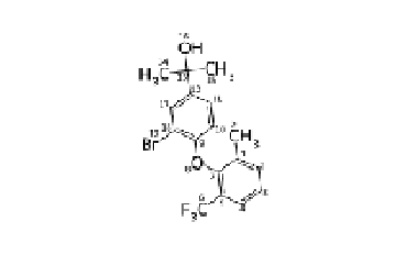 Cc1cccc(C(F)(F)F)c1Oc1ccc(C(C)(C)O)cc1Br